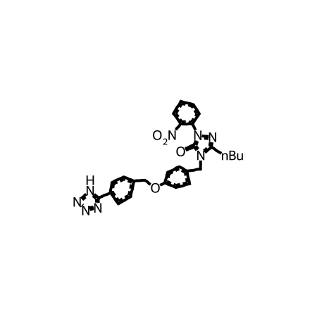 CCCCc1nn(-c2ccccc2[N+](=O)[O-])c(=O)n1Cc1ccc(OCc2ccc(-c3nnn[nH]3)cc2)cc1